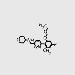 CCOCOc1cc(F)cc(C)c1-c1ccc(CNC2CCOCC2)nn1